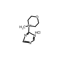 C[N+]1(c2ncncn2)CCOCC1.Cl